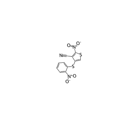 N#Cc1c(Sc2ccccc2[N+](=O)[O-])csc1[N+](=O)[O-]